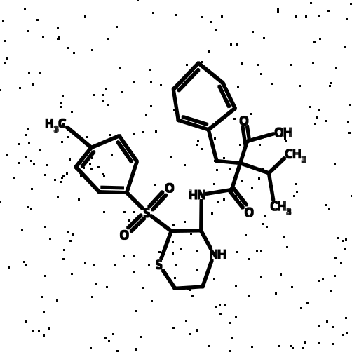 Cc1ccc(S(=O)(=O)C2SCCNC2NC(=O)C(Cc2ccccc2)(C(=O)O)C(C)C)cc1